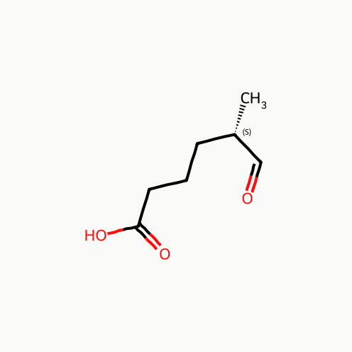 C[C@H](C=O)CCCC(=O)O